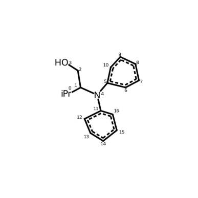 CC(C)C(CO)N(c1ccccc1)c1ccccc1